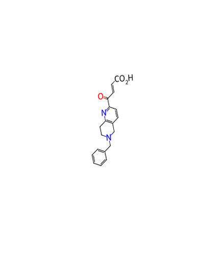 O=C(O)C=CC(=O)c1ccc2c(n1)CCN(Cc1ccccc1)C2